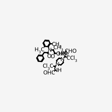 COC(=O)C(C)N(C(=O)Cc1ccccc1)c1c(C)cccc1C.O=CNC(N1CCN(C(NC=O)C(Cl)(Cl)Cl)CC1)C(Cl)(Cl)Cl